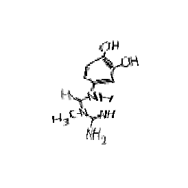 CN(C(=N)N)C(=N)Nc1ccc(O)c(O)c1